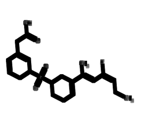 CC/C=C(F)\C=C(/C)C1=CCCC(S(=O)(=O)C2C=C(CC(=O)O)C=CC2)C1